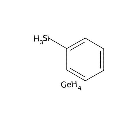 [GeH4].[SiH3]c1ccccc1